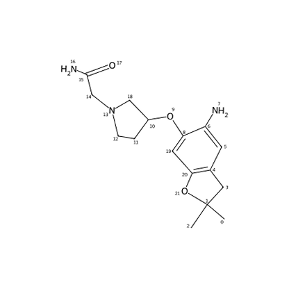 CC1(C)Cc2cc(N)c(OC3CCN(CC(N)=O)C3)cc2O1